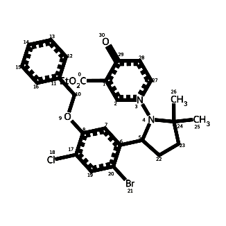 CCOC(=O)c1cn(N2C(c3cc(OCc4ccccc4)c(Cl)cc3Br)CCC2(C)C)ccc1=O